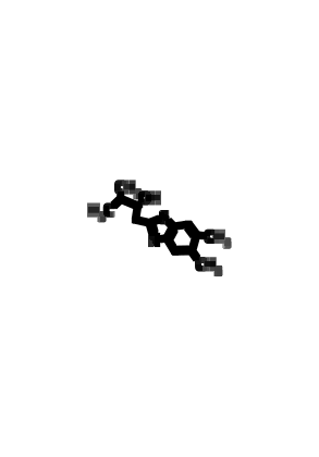 Cc1cc2nc(CC(O)C(C)C)sc2cc1C